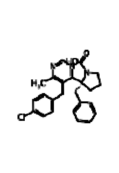 Cc1ncnc([C@]2(Cc3ccccc3)CCCN2C(=O)O)c1Cc1ccc(Cl)cc1